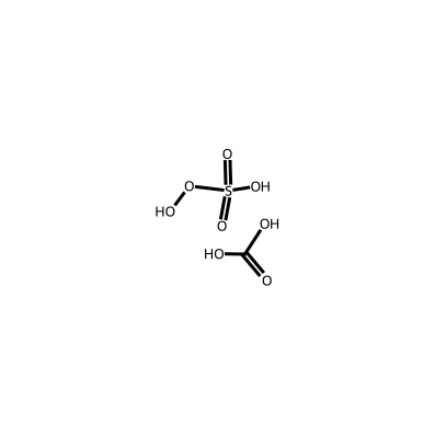 O=C(O)O.O=S(=O)(O)OO